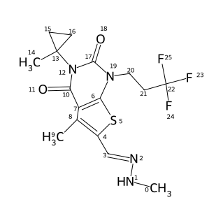 CN/N=C/c1sc2c(c1C)c(=O)n(C1(C)CC1)c(=O)n2CCC(F)(F)F